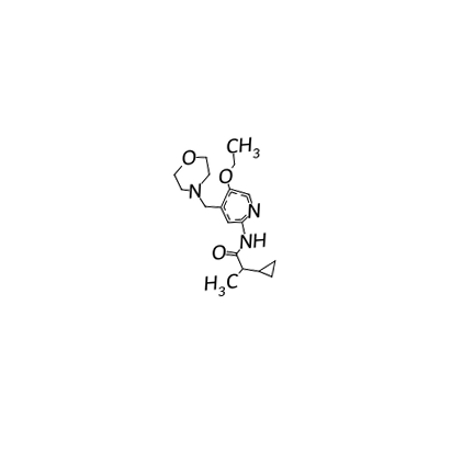 CCOc1cnc(NC(=O)C(C)C2CC2)cc1CN1CCOCC1